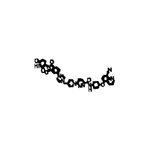 N#Cc1ccc(OC2CCC(NC(=O)c3ccc(N4CCC(CN5CCN(c6ccc7c(c6)C(=O)N(C6CCC(=O)NC6=O)C7=O)CC5)CC4)nn3)CC2)c2cccnc12